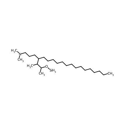 CCCCCCCCCCCCCCCC(CCCN(C)C)C(C)C(C)O[SiH3]